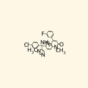 Cn1cncc1[C@@](N)(c1ccc(Cl)cc1)c1ccc2c(n1)c(-c1cccc(F)c1)cc(=O)n2C